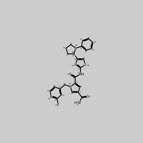 NC(=O)c1cc(C(=O)Nc2nc([C@H]3CCCN3c3ccccc3)cs2)n(Cc2ccnc(F)c2)c1